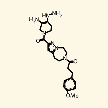 COc1ccc(CCC(=O)N2CCc3cc(C(=O)N4CCC(NN)=C(N)C4)nn3CC2)cc1